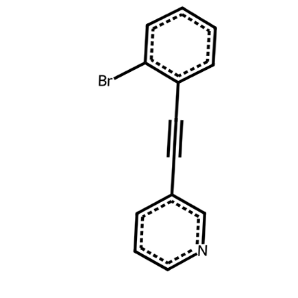 Brc1ccccc1C#Cc1cccnc1